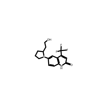 O=c1cc(C(F)(F)F)c2cc(N3CCCC3CCO)ccc2[nH]1